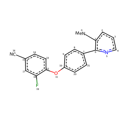 CNc1cccnc1-c1ccc(Oc2ccc(C#N)cc2F)cc1